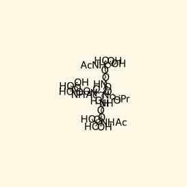 CC(=O)NC1C(OCCOCCNC(=O)CCC(CCC(=O)NCCOCCOC2OC(CO)C(O)C(O)C2NC(C)=O)(CCC(=O)NCCOCCOC2OC(CO)C(O)C(O)C2NC(C)=O)NC(=O)c2ccc(OC(C)C)cc2)CC(CO)C(O)C1O